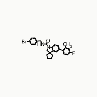 Cc1cc(F)ccc1-c1ccc2c(c1)C1(CCCC1)CN2C(=O)NCc1ccc(Br)cc1